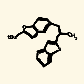 CC(Cc1ccc2oc(C(C)(C)C)cc2c1)c1cc2ccccc2s1